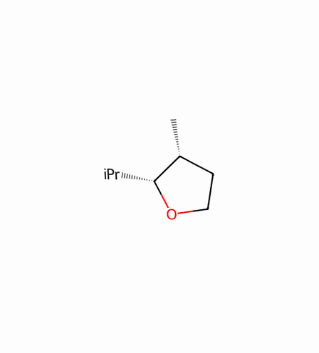 CC(C)[C@H]1OCC[C@H]1C